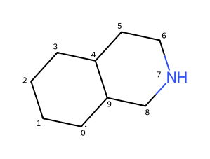 [CH]1CCCC2CCNCC12